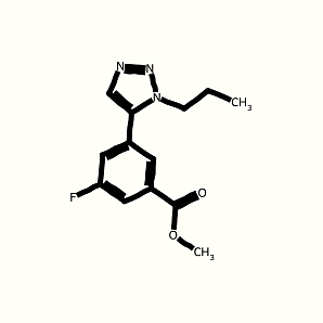 CCCn1nncc1-c1cc(F)cc(C(=O)OC)c1